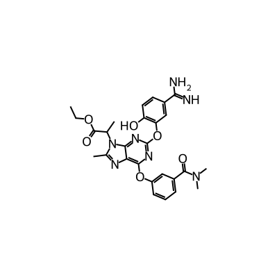 CCOC(=O)C(C)n1c(C)nc2c(Oc3cccc(C(=O)N(C)C)c3)nc(Oc3cc(C(=N)N)ccc3O)nc21